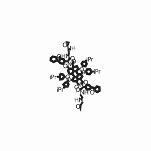 CC(C)c1ccc(Oc2cc3c4c(cc(Oc5ccc(C(C)C)cc5)c5c6c(Oc7ccc(C(C)C)cc7)cc7c8c(cc(Oc9ccc(C(C)C)cc9)c(c2c45)c86)C(=O)N(C(C(=O)NCCNC2CCO2)c2ccc4c(c2)oc2ccccc24)C7=O)C(=O)N(C(C(=O)NCCNCC2CO2)c2ccc4c(c2)oc2ccccc24)C3=O)cc1